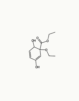 CCOC(=O)C1(OCC)C=C(O)C=CC1O